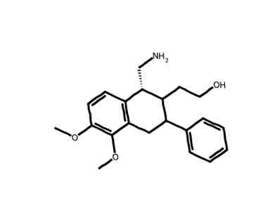 COc1ccc2c(c1OC)CC(c1ccccc1)C(CCO)[C@H]2CN